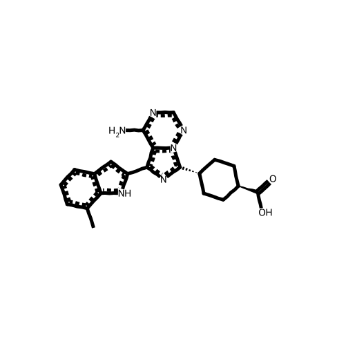 Cc1cccc2cc(-c3nc([C@H]4CC[C@H](C(=O)O)CC4)n4ncnc(N)c34)[nH]c12